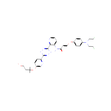 CN(C(=O)/C=C/Oc1ccc(N(CCCl)CCCl)cc1)c1cccnc1C1=NNC(c2ccc(OC(C)(C)CCOC(C)(C)C)cn2)=NN1